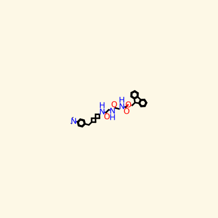 CN(C)c1ccc(CC2CC3(C2)CC(NC(=O)CNC(=O)CNC(=O)OCC2c4ccccc4-c4ccccc42)C3)cc1